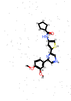 COc1ccc(-c2cncc(-c3cc(NC(=O)C4CCCC4)cs3)n2)cc1OC